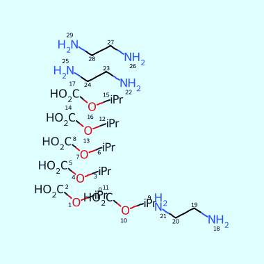 CC(C)OC(=O)O.CC(C)OC(=O)O.CC(C)OC(=O)O.CC(C)OC(=O)O.CC(C)OC(=O)O.CC(C)OC(=O)O.NCCN.NCCN.NCCN